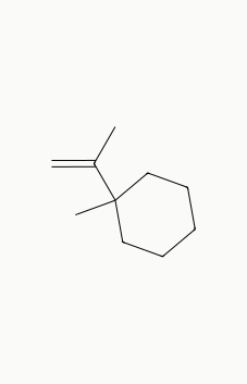 C=C(C)C1(C)CCCCC1